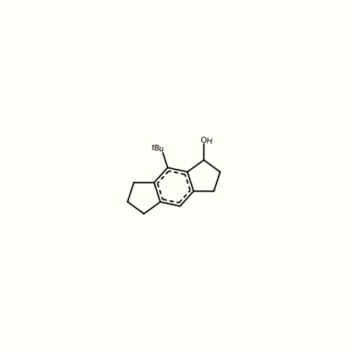 CC(C)(C)c1c2c(cc3c1C(O)CC3)CCC2